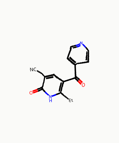 CCc1[nH]c(=O)c(C#N)cc1C(=O)c1ccncc1